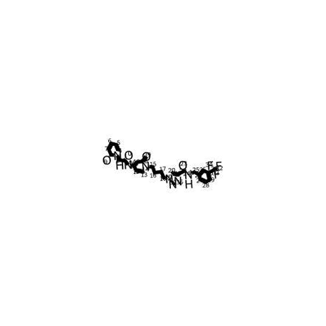 O=C(Cn1ccccc1=O)Nc1ccn(CCCCn2cc(C(=O)NCc3cccc(C(F)(F)F)c3)nn2)c(=O)c1